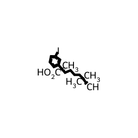 C#CC(C)(C)CCCC[C@@](C)(C(=O)O)c1cccc(I)c1